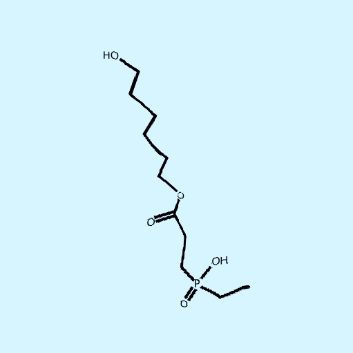 CCP(=O)(O)CCC(=O)OCCCCCCO